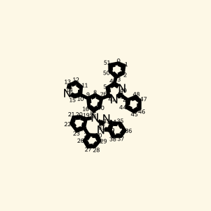 c1ccc(-c2cc(-c3cc(-c4cccnc4)cc(N4c5ccccc5-c5ccccc5-n5c4nc4ccccc45)c3)nc(-c3ccccc3)n2)cc1